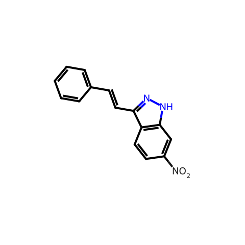 O=[N+]([O-])c1ccc2c(C=Cc3ccccc3)n[nH]c2c1